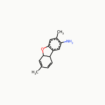 CC1=CC2Oc3cc(C)c(N)cc3C2C=C1